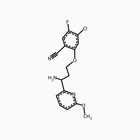 COc1cccc(C(N)CCOc2cc(Cl)c(F)cc2C#N)n1